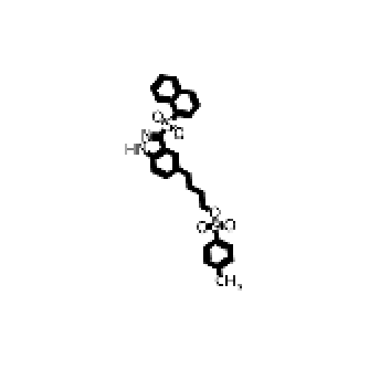 Cc1ccc(S(=O)(=O)OCCCCc2ccc3[nH]nc(S(=O)(=O)c4cccc5ccccc45)c3c2)cc1